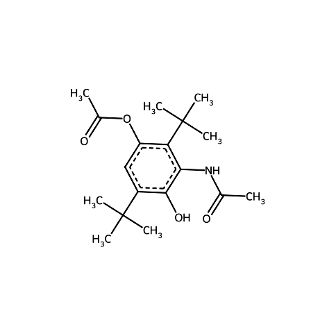 CC(=O)Nc1c(O)c(C(C)(C)C)cc(OC(C)=O)c1C(C)(C)C